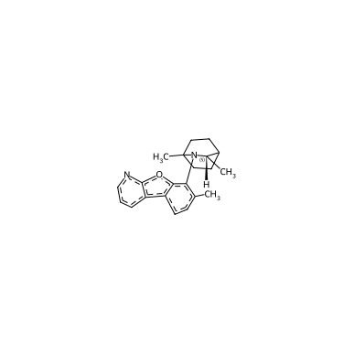 Cc1ccc2c(oc3ncccc32)c1N1[C@@H](C)C2CCC1(C)CC2